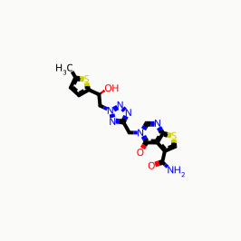 Cc1ccc([C@@H](O)Cn2nnc(Cn3cnc4scc(C(N)=O)c4c3=O)n2)s1